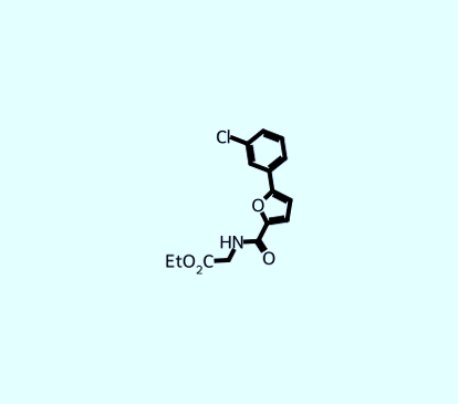 CCOC(=O)CNC(=O)c1ccc(-c2cccc(Cl)c2)o1